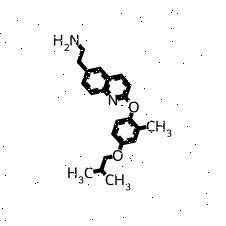 Cc1cc(OCC(C)C)ccc1Oc1ccc2cc(CCN)ccc2n1